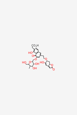 CC1C(CO)OC(COc2cc(CCOC3CC4OC(=O)C=C4C=C3O)cc3ccc(CC(=O)O)c(O)c3c2=O)C(O)C1O